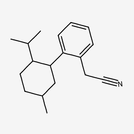 CC1CCC(C(C)C)C(c2ccccc2CC#N)C1